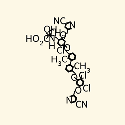 Cc1c(COc2cc(OCc3cncc(C#N)c3)c(Cl)cc2Cl)cccc1-c1cccc(COc2cc(OCc3cncc(C#N)c3)c(CN[C@@](C)(CO)C(=O)O)cc2Cl)c1C